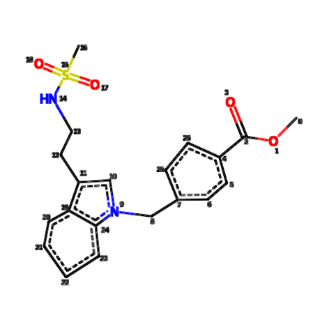 COC(=O)c1ccc(Cn2cc(CCNS(C)(=O)=O)c3ccccc32)cc1